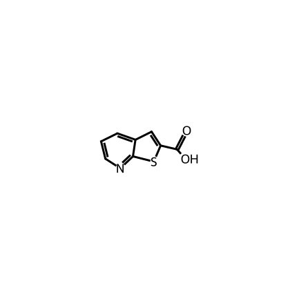 O=C(O)c1cc2cccnc2s1